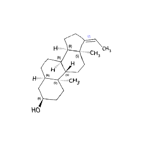 C/C=C1/CC[C@@H]2[C@@H]3CC[C@@H]4C[C@H](O)CC[C@]4(C)[C@H]3CC[C@]12C